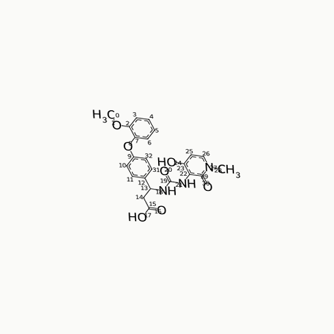 COc1ccccc1Oc1ccc(C(CC(=O)O)NC(=O)Nc2c(O)ccn(C)c2=O)cc1